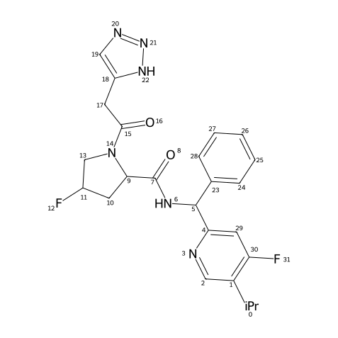 CC(C)c1cnc(C(NC(=O)C2CC(F)CN2C(=O)Cc2cnn[nH]2)c2ccccc2)cc1F